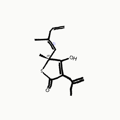 C=C/C(C)=C/[C@@]1(C)SC(=O)C(C(=C)C)=C1O